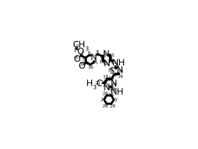 CCOC(=O)C1CN(Cc2cnc(Nc3ncc(-c4cc(C)nc(NC5CCCCC5)n4)s3)cn2)CCC1=O